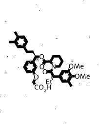 CC[C@H](C(=O)N1CCCCC1C(=O)O[C@H](CCc1ccc(C)c(C)c1)c1cccc(OCC(=O)O)c1)c1cc(C)c(OC)c(OC)c1